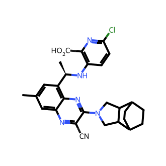 Cc1cc([C@@H](C)Nc2ccc(Cl)nc2C(=O)O)c2nc(N3CC4C5CCC(CC5)C4C3)c(C#N)nc2c1